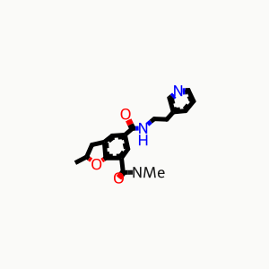 CNC(=O)c1cc(C(=O)NCCc2cccnc2)cc2c1OC(C)C2